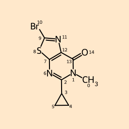 Cn1c(C2CC2)nc2sc(Br)nc2c1=O